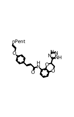 CCCCCC=COc1ccc(C=CC(=O)Nc2cccc3c2OC(c2nnn[nH]2)CO3)cc1